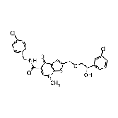 Cn1cc(C(=O)NCc2ccc(Cl)cc2)c(=O)c2cc(COC[C@H](O)c3cccc(Cl)c3)sc21